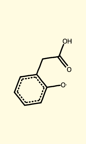 [O]c1ccccc1CC(=O)O